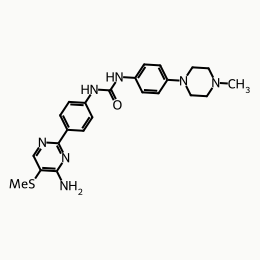 CSc1cnc(-c2ccc(NC(=O)Nc3ccc(N4CCN(C)CC4)cc3)cc2)nc1N